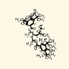 CC(CN(CC(C)OC(=O)c1cc(C(C)(C)C)c(O)c(C(C)(C)C)c1)CC(C)OC(=O)c1cc(C(C)(C)C)c(O)c(C(C)(C)C)c1)OC=O